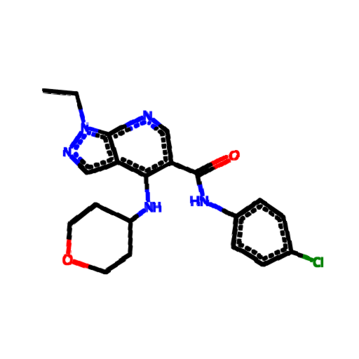 CCn1ncc2c(NC3CCOCC3)c(C(=O)Nc3ccc(Cl)cc3)cnc21